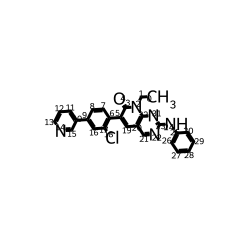 CCn1c(=O)c(-c2ccc(-c3cccnc3)cc2Cl)cc2cnc(Nc3ccccc3)nc21